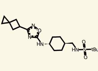 CC(C)(C)S(=O)(=O)NC[C@H]1CC[C@H](Nc2nc(C3CC4(CC4)C3)no2)CC1